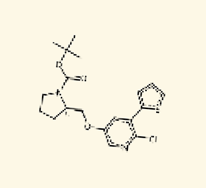 CC(C)(C)OC(=O)N1CCC[C@@H]1COc1cnc(Cl)c(-c2cccs2)c1